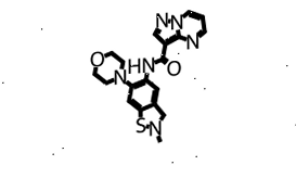 CN1Cc2cc(NC(=O)c3cnn4cccnc34)c(N3CCOCC3)cc2S1